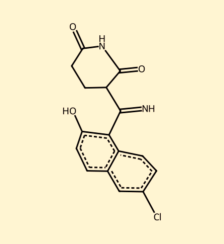 N=C(c1c(O)ccc2cc(Cl)ccc12)C1CCC(=O)NC1=O